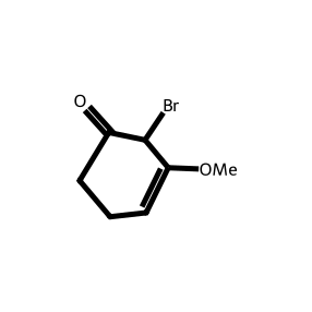 COC1=CCCC(=O)C1Br